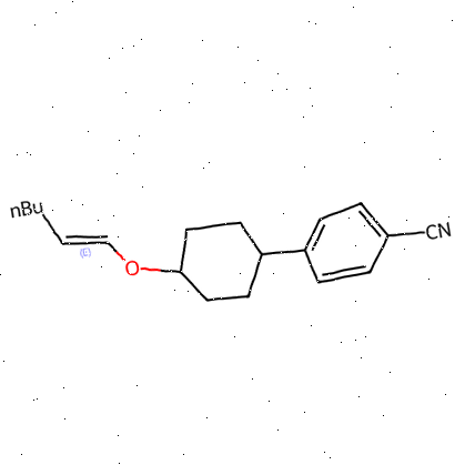 CCCC/C=C/OC1CCC(c2ccc(C#N)cc2)CC1